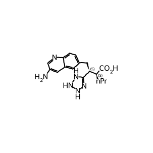 CCC[C@H](C(=O)O)[C@H](Cc1ccc2ncc(N)cc2c1)C1=NNNN1